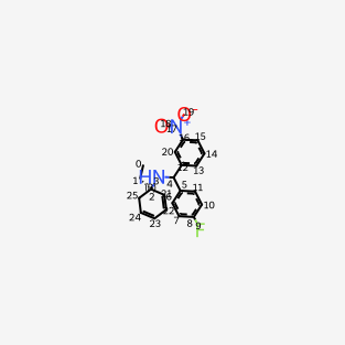 CC[C@]1(NC(c2ccc(F)cc2)c2cccc([N+](=O)[O-])c2)C=CC=CC1